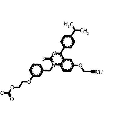 C#CCOc1ccc2c(c1)c(-c1ccc(C(C)C)cc1)nc(=S)n2Cc1cccc(OCCOC(C)=O)c1